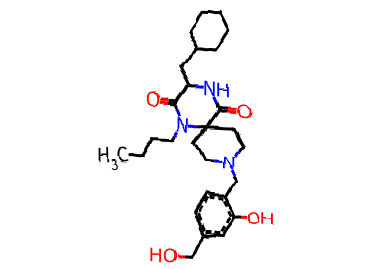 CCCCN1C(=O)C(CC2CCCCC2)NC(=O)C12CCN(Cc1ccc(CO)cc1O)CC2